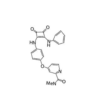 CNC(=O)c1cc(Oc2ccc(Nc3c(Nc4ccccc4)c(=O)c3=O)cc2)ccn1